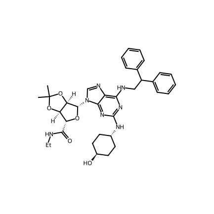 CCNC(=O)[C@H]1O[C@@H](n2cnc3c(NCC(c4ccccc4)c4ccccc4)nc(N[C@H]4CC[C@H](O)CC4)nc32)[C@@H]2OC(C)(C)O[C@@H]21